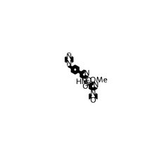 COc1ncc(N2CCOCC2)cc1S(=O)(=O)Nc1cncc(-c2ccc(CN3CCN(C)CC3)cc2)c1